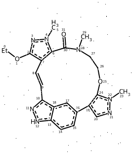 CCOc1nn(C)c2c1/C=C/c1n[nH]c3ccc(cc13)-c1cnn(C)c1OCCN(C)C2=O